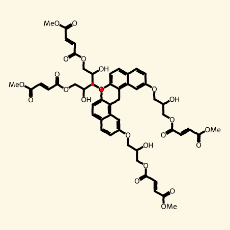 COC(=O)/C=C/C(=O)OCC(O)COc1ccc2ccc(OCC(O)COC(=O)/C=C/C(=O)OC)c(Cc3c(OCC(O)COC(=O)/C=C/C(=O)OC)ccc4ccc(OCC(O)COC(=O)/C=C/C(=O)OC)cc34)c2c1